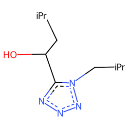 CC(C)CC(O)c1nnnn1CC(C)C